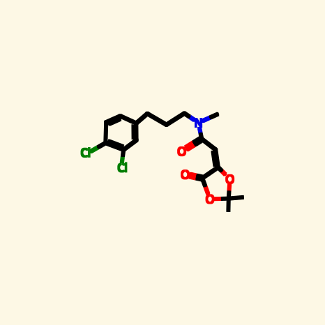 CN(CCCc1ccc(Cl)c(Cl)c1)C(=O)C=C1OC(C)(C)OC1=O